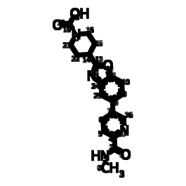 CNC(=O)c1ccc(-c2ccc3oc(C4CCN(C(=O)O)CC4)nc3c2)cn1